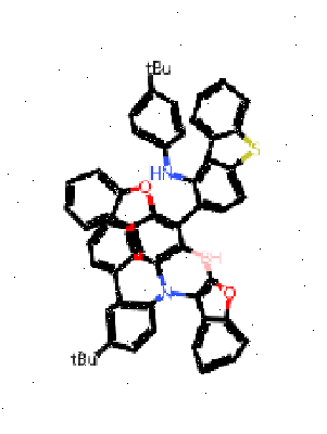 CC(C)(C)c1ccc(Nc2c(-c3c4c(cc5c3oc3ccccc35)N(c3ccc(C(C)(C)C)cc3-c3ccccc3)c3c(oc5ccccc35)B4)ccc3sc4ccccc4c23)cc1